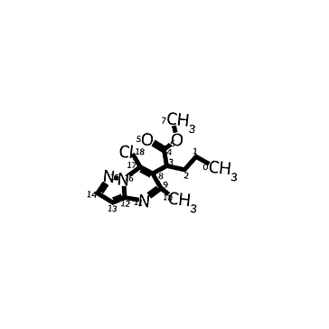 CCCC(C(=O)OC)c1c(C)nc2ccnn2c1Cl